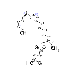 CC/C=C\C/C=C\C/C=C\CCCCCCC(CC)COC(=O)CCC(=O)O